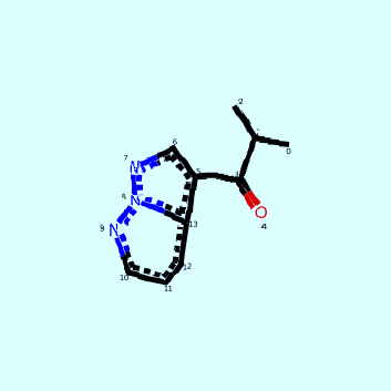 CC(C)C(=O)c1cnn2ncccc12